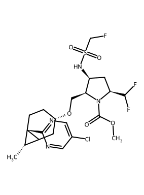 COC(=O)N1[C@H](C(F)F)C[C@H](NS(=O)(=O)CF)[C@@H]1CO[C@H]1CC[C@]2(c3ncc(Cl)cn3)C(C1)[C@@H]2C